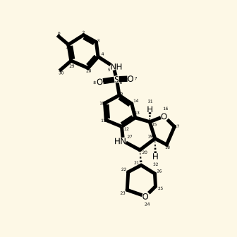 Cc1ccc(NS(=O)(=O)c2ccc3c(c2)[C@H]2OCC[C@H]2[C@H](C2CCOCC2)N3)cc1C